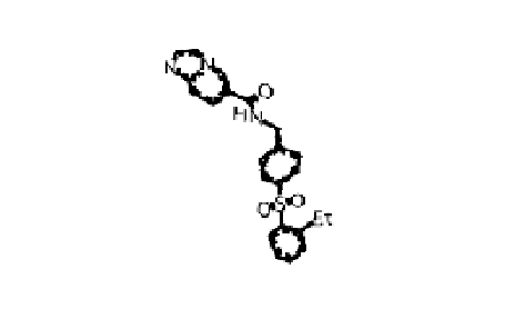 CCc1ccccc1S(=O)(=O)c1ccc(CNC(=O)c2ccc3nccn3c2)cc1